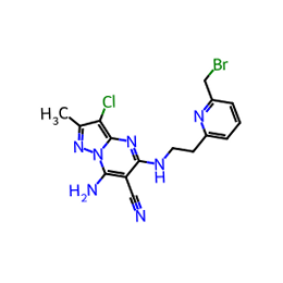 Cc1nn2c(N)c(C#N)c(NCCc3cccc(CBr)n3)nc2c1Cl